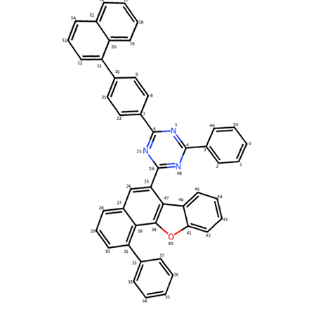 c1ccc(-c2nc(-c3ccc(-c4cccc5ccccc45)cc3)nc(-c3cc4cccc(-c5ccccc5)c4c4oc5ccccc5c34)n2)cc1